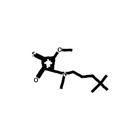 COc1c(N(C)CCCC(C)(C)C)c(=O)c1=S